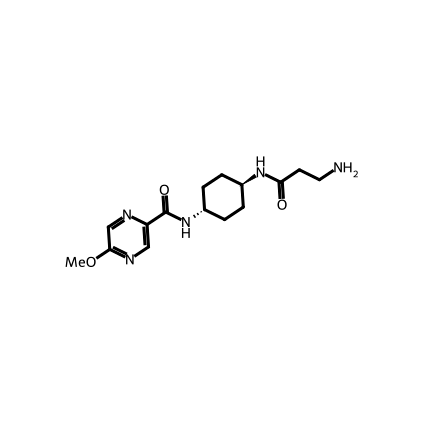 COc1cnc(C(=O)N[C@H]2CC[C@H](NC(=O)CCN)CC2)cn1